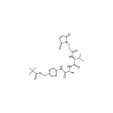 CC(C)[C@H](NC(=O)CCN1C(=O)C=CC1=O)C(=O)N[C@@H](C)C(=O)Nc1ccc(COC(=O)C(C)(C)C)cc1